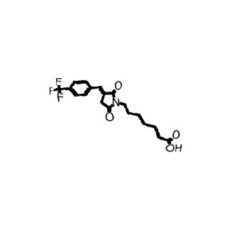 O=C(O)CCCCCCN1C(=O)C/C(=C\c2ccc(C(F)(F)F)cc2)C1=O